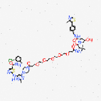 Cc1nc(Nc2ncc(C(=O)Nc3c(C)cccc3Cl)s2)cc(N2CCN(C(=O)CCOCCOCCOCCOCCOCCC(=O)N[C@H](C(=O)N3C[C@H](O)C[C@H]3C(=O)NCc3ccc(-c4scnc4C)cc3)C(C)(C)C)CC2)n1